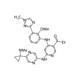 CCC(=O)c1cnc(Nc2cnc(C3(NC)CC3)cn2)cc1Nc1cccc(-c2ncn(C)n2)c1OC